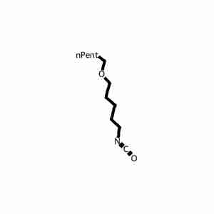 CCCCCCOCCCCCN=C=O